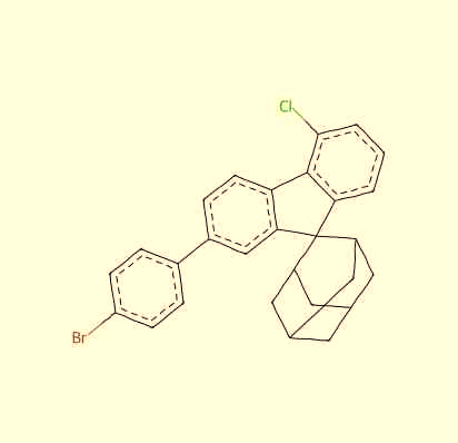 Clc1cccc2c1-c1ccc(-c3ccc(Br)cc3)cc1C21C2CC3CC(C2)CC1C3